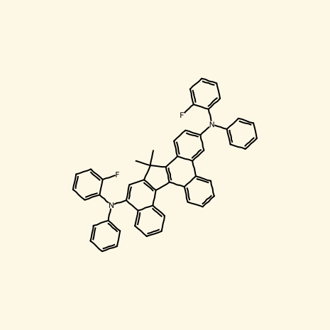 CC1(C)c2cc(N(c3ccccc3)c3ccccc3F)c3ccccc3c2-c2c1c1ccc(N(c3ccccc3)c3ccccc3F)cc1c1ccccc21